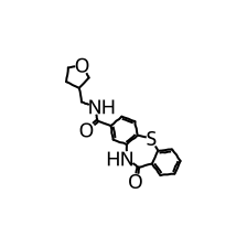 O=C(NCC1CCOC1)c1ccc2c(c1)NC(=O)c1ccccc1S2